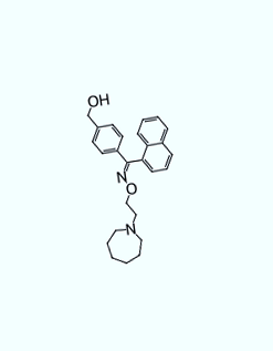 OCc1ccc(/C(=N/OCCN2CCCCCC2)c2cccc3ccccc23)cc1